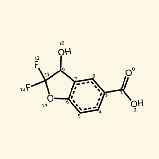 O=C(O)c1ccc2c(c1)C(O)C(F)(F)O2